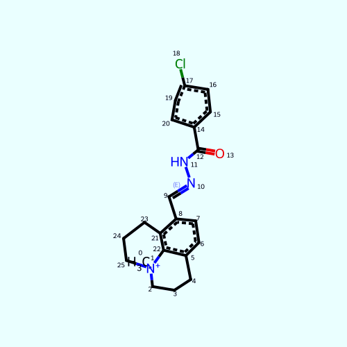 C[N+]12CCCc3ccc(/C=N/NC(=O)c4ccc(Cl)cc4)c(c31)CCC2